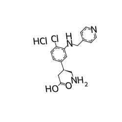 Cl.NC[C@@H](CC(=O)O)c1ccc(Cl)c(NCc2ccncc2)c1